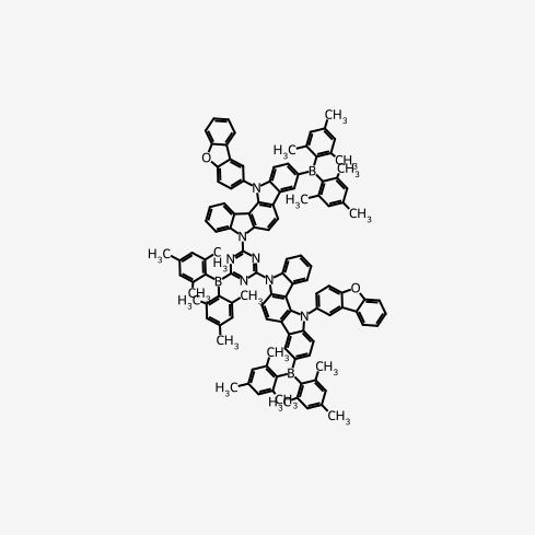 Cc1cc(C)c(B(c2ccc3c(c2)c2ccc4c(c5ccccc5n4-c4nc(B(c5c(C)cc(C)cc5C)c5c(C)cc(C)cc5C)nc(-n5c6ccccc6c6c5ccc5c7cc(B(c8c(C)cc(C)cc8C)c8c(C)cc(C)cc8C)ccc7n(-c7ccc8oc9ccccc9c8c7)c56)n4)c2n3-c2ccc3oc4ccccc4c3c2)c2c(C)cc(C)cc2C)c(C)c1